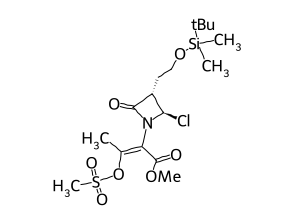 COC(=O)/C(=C(/C)OS(C)(=O)=O)N1C(=O)[C@H](CCO[Si](C)(C)C(C)(C)C)[C@H]1Cl